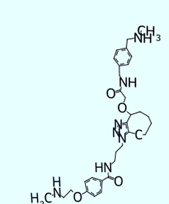 CNCCOc1ccc(C(=O)NCCCn2nnc3c2CCCCCC3OCC(=O)NCc2ccc(CNC)cc2)cc1